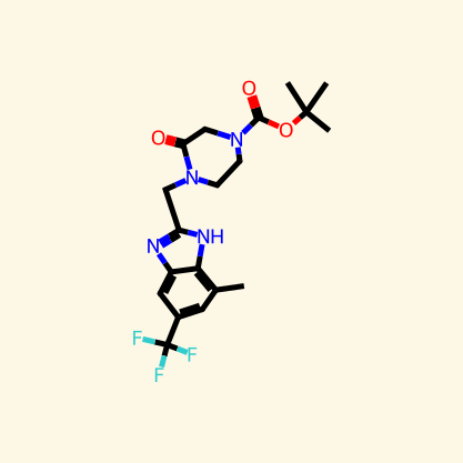 Cc1cc(C(F)(F)F)cc2nc(CN3CCN(C(=O)OC(C)(C)C)CC3=O)[nH]c12